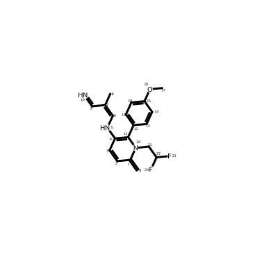 C=C1C=CC(N/C=C(/C)C=N)=C(c2ccc(OC)cc2)N1CC(F)F